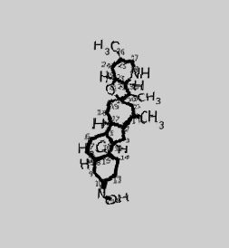 CC1=C2C[C@H]3C(CC[C@@H]4C/C(=N/O)CC[C@@]43C)[C@@H]2CC[C@@]2(C1)O[C@@H]1C[C@H](C)CN[C@H]1[C@H]2C